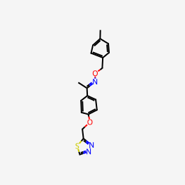 C/C(=N\OCc1ccc(C)cc1)c1ccc(OCc2nncs2)cc1